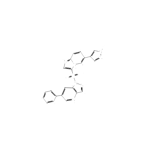 Cn1cc(-c2ccc3ncc(S(=O)(=O)n4ncc5ncc(-c6ccccc6)cc54)n3c2)cn1